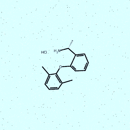 Cc1cccc(C)c1Oc1ccccc1[C@@H](C)N.Cl